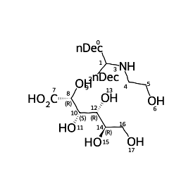 CCCCCCCCCCC(CCCCCCCCCC)NCCO.O=C(O)[C@H](O)[C@@H](O)[C@H](O)[C@H](O)CO